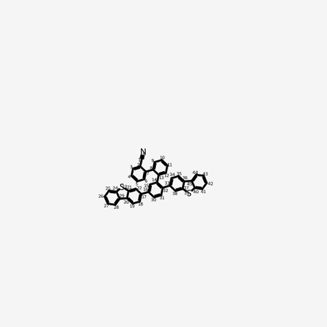 N#Cc1ccccc1-c1ccccc1-c1cc(-c2ccc3c(c2)sc2ccccc23)ccc1-c1ccc2c(c1)sc1ccccc12